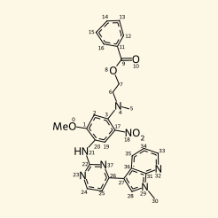 COc1cc(N(C)CCOC(=O)c2ccccc2)c([N+](=O)[O-])cc1Nc1nccc(-c2cn(C)c3ncccc23)n1